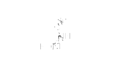 CNc1ccc(-c2cc(-c3ccc(OCCN4CCOCC4)cc3)[nH]n2)cc1